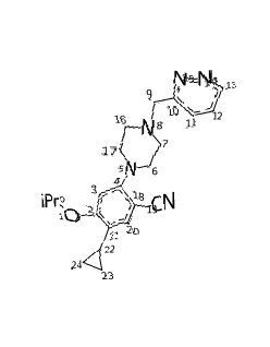 CC(C)Oc1cc(N2CCN(Cc3cccnn3)CC2)c(C#N)cc1C1CC1